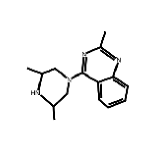 Cc1nc(N2CC(C)NC(C)C2)c2ccccc2n1